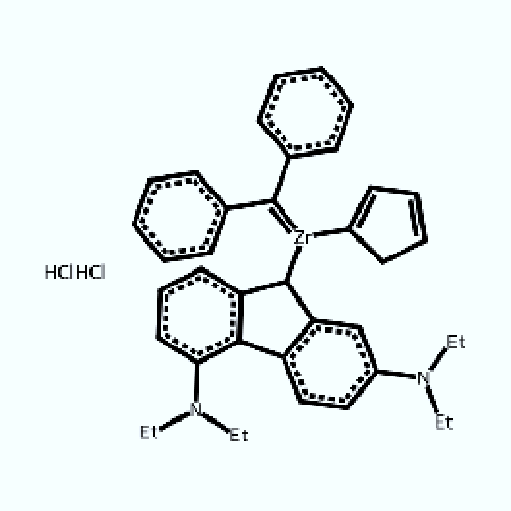 CCN(CC)c1ccc2c(c1)[CH]([Zr]([C]1=CC=CC1)=[C](c1ccccc1)c1ccccc1)c1cccc(N(CC)CC)c1-2.Cl.Cl